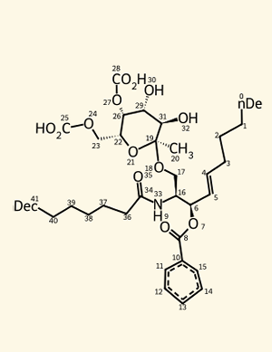 CCCCCCCCCCCCC/C=C/[C@@H](OC(=O)c1ccccc1)[C@H](CO[C@@]1(C)O[C@H](COC(=O)O)[C@H](OC(=O)O)[C@H](O)[C@H]1O)NC(=O)CCCCCCCCCCCCCCC